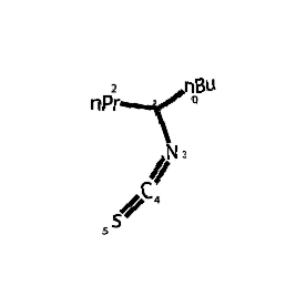 CCCCC(CCC)N=C=S